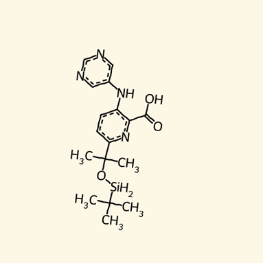 CC(C)(C)[SiH2]OC(C)(C)c1ccc(Nc2cncnc2)c(C(=O)O)n1